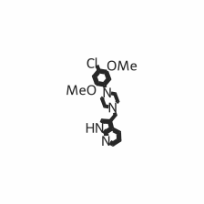 COc1cc(N2CCN(Cc3c[nH]c4ncccc34)CC2)c(OC)cc1Cl